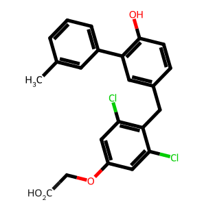 Cc1cccc(-c2cc(Cc3c(Cl)cc(OCC(=O)O)cc3Cl)ccc2O)c1